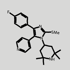 CSc1nc(-c2ccc(F)cc2)c(-c2ccncc2)n1C1CC(C)(C)NC(C)(C)C1